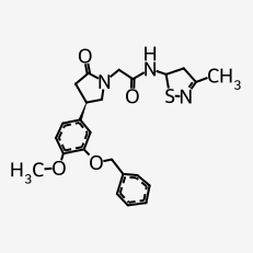 COc1ccc([C@H]2CC(=O)N(CC(=O)NC3CC(C)=NS3)C2)cc1OCc1ccccc1